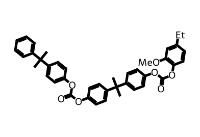 CCc1ccc(OC(=O)Oc2ccc(C(C)(C)c3ccc(OC(=O)Oc4ccc(C(C)(C)c5ccccc5)cc4)cc3)cc2)c(OC)c1